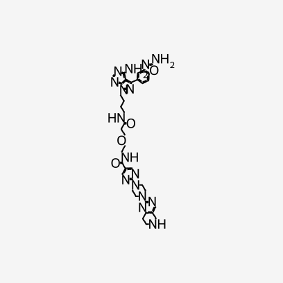 Nc1nc2cc(-c3nn(CCCCNC(=O)CCOCCNC(=O)c4cnc(N5CCN(c6ncc7c(n6)CCNC7)CC5)nc4)c4ncnc(N)c34)ccc2o1